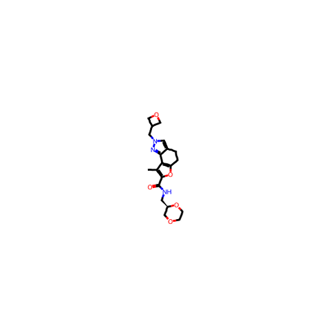 Cc1c(C(=O)NC[C@@H]2COCCO2)oc2c1-c1nn(CC3COC3)cc1CC2